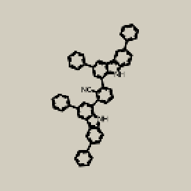 N#Cc1c(-c2cc(-c3ccccc3)cc3c2[nH]c2ccc(-c4ccccc4)cc23)cccc1-c1cc(-c2ccccc2)cc2c1[nH]c1ccc(-c3ccccc3)cc12